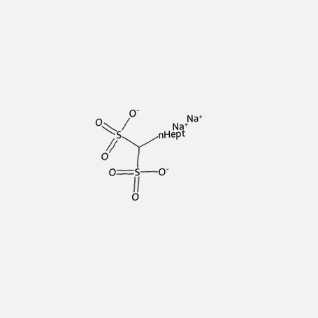 CCCCCCCC(S(=O)(=O)[O-])S(=O)(=O)[O-].[Na+].[Na+]